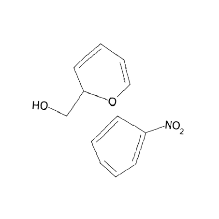 O=[N+]([O-])c1ccccc1.OCC1C=CC=CO1